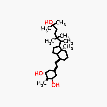 C=C1[C@H](O)CC(=C/C=C2\CCC[C@@]3(C)C2CCC3C(C)C(C)(C)CCC(C)(C)O)C[C@H]1O